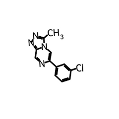 Cc1nnc2cnc(-c3cccc(Cl)c3)cn12